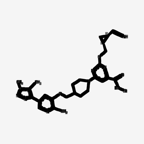 CCNC(=O)c1cc(N2CCC(COc3cc(-c4nnn(C)c4C)cnc3N)CC2)nc(OC[C@H]2C[C@H]2C=N)n1